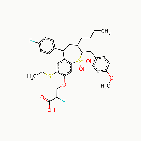 CCCCC1CC(c2ccc(F)cc2)c2cc(SCC)c(O/C=C(\F)C(=O)O)cc2S(O)(O)C1Cc1ccc(OC)cc1